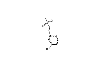 CS(=N)(=O)CCc1cccc(Br)c1